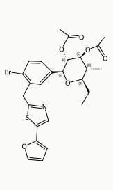 CC[C@H]1O[C@@H](c2ccc(Br)c(Cc3ncc(-c4ccco4)s3)c2)[C@H](OC(C)=O)[C@@H](OC(C)=O)[C@@H]1C